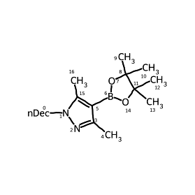 CCCCCCCCCCn1nc(C)c(B2OC(C)(C)C(C)(C)O2)c1C